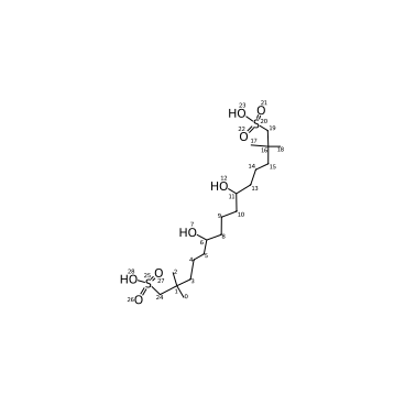 CC(C)(CCCC(O)CCCC(O)CCCC(C)(C)CS(=O)(=O)O)CS(=O)(=O)O